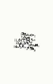 CC1=CC(C)[C](/[Zr+2](=[CH]\c2ccc(C(C)(C)C)cc2)[CH]2c3cc4c(cc3-c3cc5c(cc32)C(C)(C)C=C5C)C(C)=CC4(C)C)=C1C.[Cl-].[Cl-]